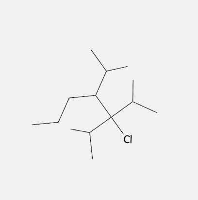 CCCC(C(C)C)C(Cl)(C(C)C)C(C)C